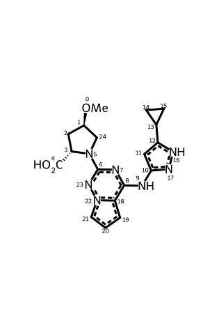 CO[C@@H]1C[C@@H](C(=O)O)N(c2nc(Nc3cc(C4CC4)[nH]n3)c3cccn3n2)C1